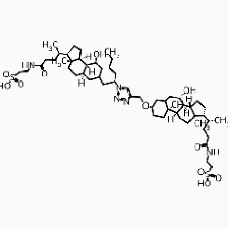 CCCC[C@H](CC1C[C@H]2CC[C@]3(C)[C@@H]([C@H](C)CCC(=O)NCCS(=O)(=O)O)CC[C@H]3[C@@H]2[C@@H](O)C1)n1cc(CO[C@@H]2CC[C@@]3(C)C(C2)C[C@H](O)[C@H]2[C@@H]4CC[C@H]([C@H](C)CCC(=O)NCCS(=O)(=O)O)[C@@]4(C)CC[C@@H]23)nn1